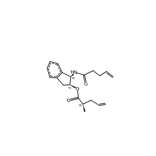 C=CCCC(=O)N[C@@H]1c2ccccc2C[C@@H]1OC(=O)[C@H](C)CC=C